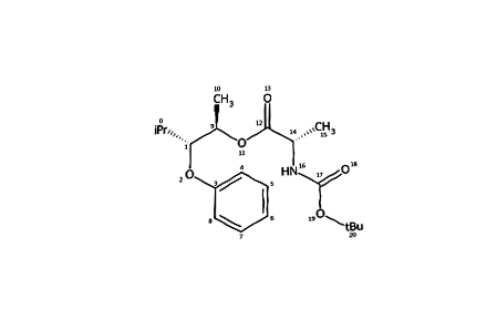 CC(C)[C@@H](Oc1ccccc1)[C@@H](C)OC(=O)[C@H](C)NC(=O)OC(C)(C)C